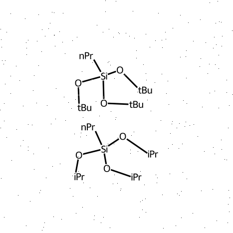 CCC[Si](OC(C)(C)C)(OC(C)(C)C)OC(C)(C)C.CCC[Si](OC(C)C)(OC(C)C)OC(C)C